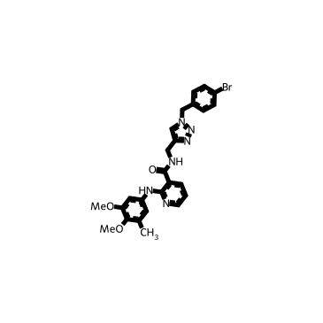 COc1cc(Nc2ncccc2C(=O)NCc2cn(Cc3ccc(Br)cc3)nn2)cc(C)c1OC